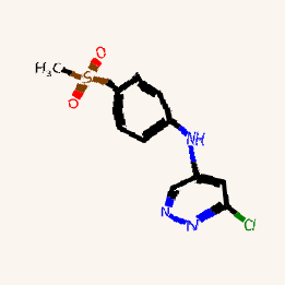 CS(=O)(=O)c1ccc(Nc2cnnc(Cl)c2)cc1